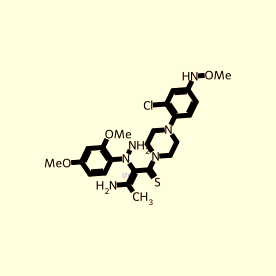 CONc1ccc(N2CCN(C(=S)/C(=C(\C)N)N(N)c3ccc(OC)cc3OC)CC2)c(Cl)c1